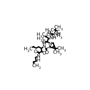 C=CCCNC(=O)C(=O)C(CCC=C)NC(=O)[C@@H]1C2C(CN1C(=O)[C@@H](NC(=O)NC(C)(C)C)C(C)(C)C)C2(C)C